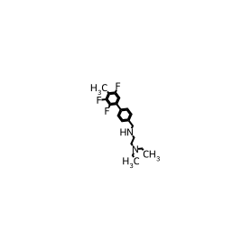 CCN(CC)CCNCc1ccc(-c2cc(F)c(C)c(F)c2F)cc1